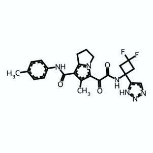 Cc1ccc(NC(=O)c2c(C)c(C(=O)C(=O)NC3(c4cnn[nH]4)CC(F)(F)C3)n3c2CCC3)cc1